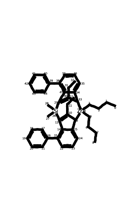 CCC[CH2][Zr]1([CH2]CCC)[CH]2C(CC)=C(c3c(-c4ccccc4)cccc32)[Si](C)(C)C2=C(CC)[CH]1c1cccc(-c3ccccc3)c12